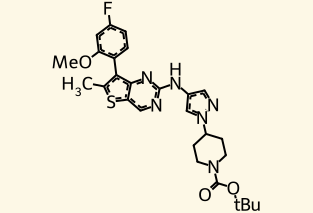 COc1cc(F)ccc1-c1c(C)sc2cnc(Nc3cnn(C4CCN(C(=O)OC(C)(C)C)CC4)c3)nc12